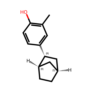 Cc1cc([C@@H]2C[C@H]3CC[C@@H]2C3)ccc1O